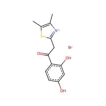 CC1=C(C)SC(CC(=O)c2ccc(O)cc2O)=[N+]1.[Br-]